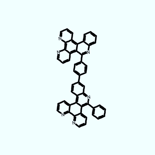 c1ccc(-c2nc3cc(-c4ccc(-c5nc6ccccc6c6c7cccnc7c7ncccc7c56)cc4)ccc3c3c4cccnc4c4ncccc4c23)cc1